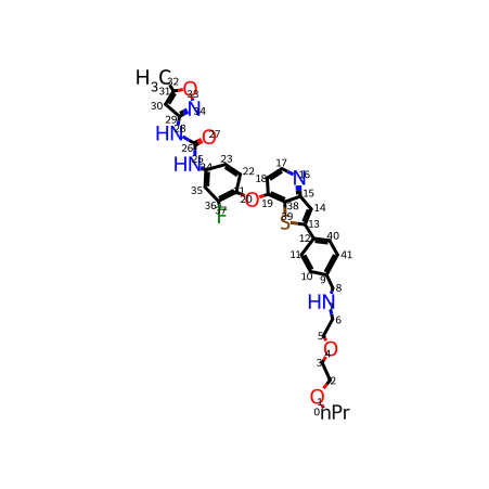 CCCOCCOCCNCc1ccc(-c2cc3nccc(Oc4ccc(NC(=O)Nc5cc(C)on5)cc4F)c3s2)cc1